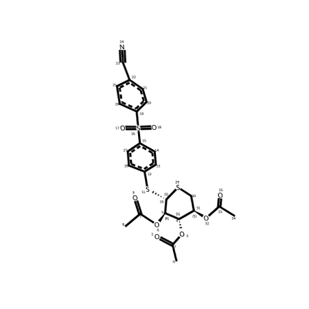 CC(=O)O[C@@H]1[C@@H](OC(C)=O)[C@H](Sc2ccc(S(=O)(=O)c3ccc(C#N)cc3)cc2)SC[C@H]1OC(C)=O